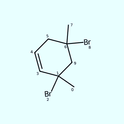 CC1(Br)C=CCC(C)(Br)C1